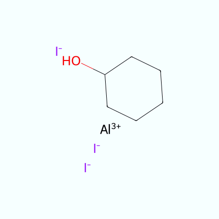 OC1CCCCC1.[Al+3].[I-].[I-].[I-]